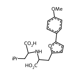 COc1ccc(-c2ccc(CC(NC(CC(C)C)C(=O)O)C(=O)O)o2)cc1